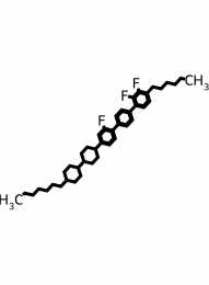 CCCCCCCC1CCC(C2CCC(c3ccc(-c4ccc(-c5ccc(CCCCCC)c(F)c5F)cc4)c(F)c3)CC2)CC1